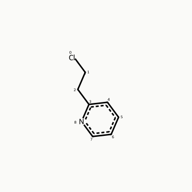 Cl[CH]Cc1ccccn1